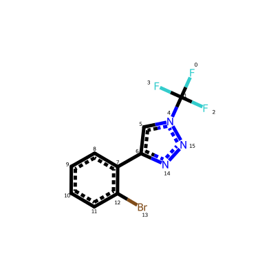 FC(F)(F)n1cc(-c2ccccc2Br)nn1